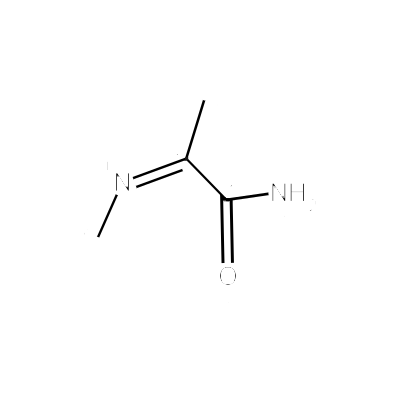 CN=C(C)C(N)=O